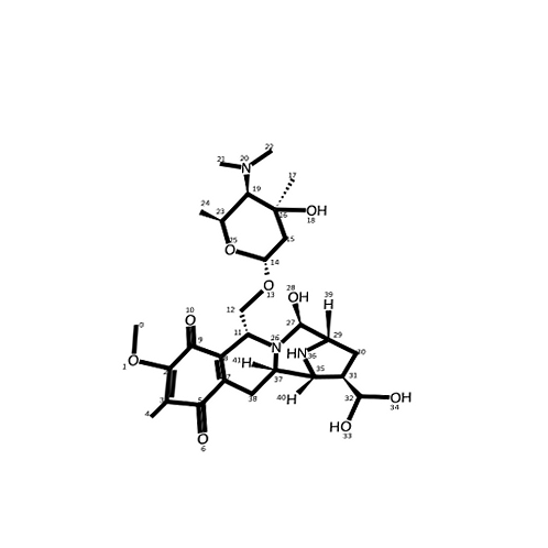 COC1=C(C)C(=O)C2=C(C1=O)[C@H](CO[C@H]1C[C@](C)(O)[C@H](N(C)C)[C@H](C)O1)N1[C@@H](O)[C@@H]3C[C@@H](C(O)O)[C@@H](N3)[C@@H]1C2